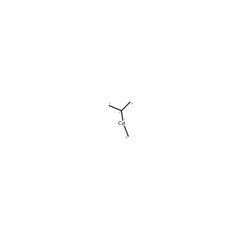 [CH3][Cd][CH](C)C